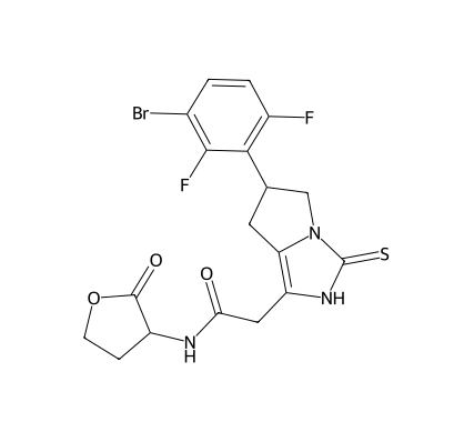 O=C(Cc1[nH]c(=S)n2c1CC(c1c(F)ccc(Br)c1F)C2)NC1CCOC1=O